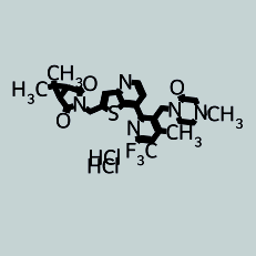 Cc1cc(C(F)(F)F)nc(-c2ccnc3cc(CN4C(=O)C5C(C4=O)C5(C)C)sc23)c1CN1CCN(C)CC1=O.Cl.Cl